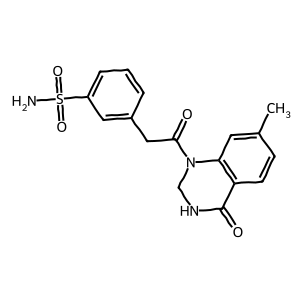 Cc1ccc2c(c1)N(C(=O)Cc1cccc(S(N)(=O)=O)c1)CNC2=O